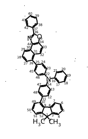 CC1(C)c2ccccc2-c2c(-c3ccc(N(c4ccccc4)c4ccc(-c5cccc6c5ccc5oc(-c7ccccc7)nc56)cc4)cc3)cccc21